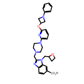 O=C(O)c1ccc2nc(CN3CCN(c4cccc(OC5CN(c6ccccc6)C5)n4)CC3)n(CC3CCO3)c2c1